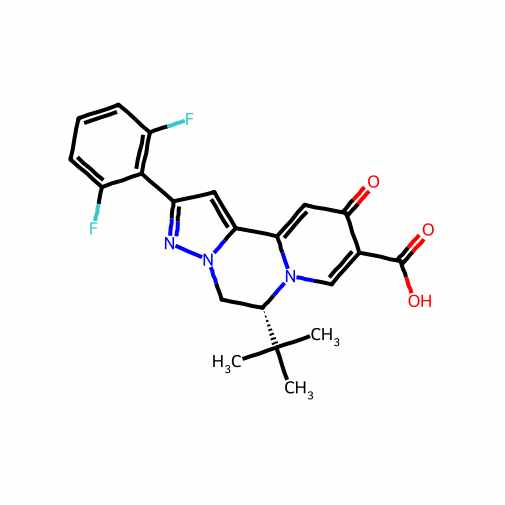 CC(C)(C)[C@@H]1Cn2nc(-c3c(F)cccc3F)cc2-c2cc(=O)c(C(=O)O)cn21